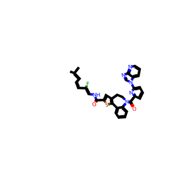 CC(C)=C/C=C\C(F)=C\NC(=O)c1cc2c(s1)-c1ccccc1N(C(=O)c1cccc(-n3cnc4ncccc43)n1)CC2